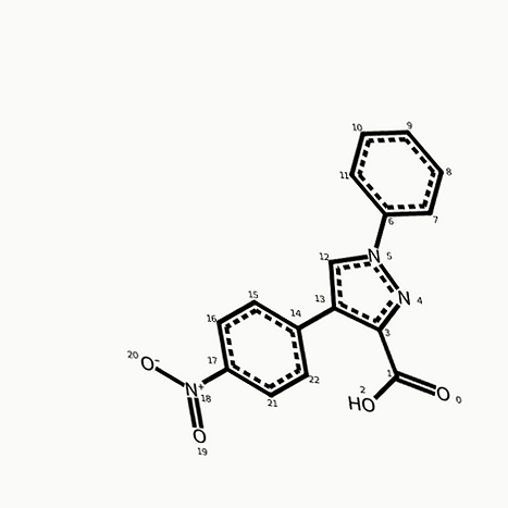 O=C(O)c1nn(-c2ccccc2)cc1-c1ccc([N+](=O)[O-])cc1